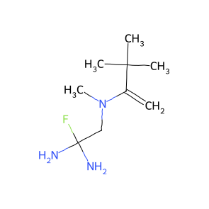 C=C(N(C)CC(N)(N)F)C(C)(C)C